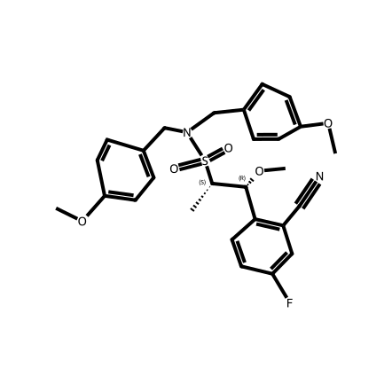 COc1ccc(CN(Cc2ccc(OC)cc2)S(=O)(=O)[C@@H](C)[C@H](OC)c2ccc(F)cc2C#N)cc1